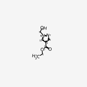 CCOC(=O)c1cnn(CO)c1